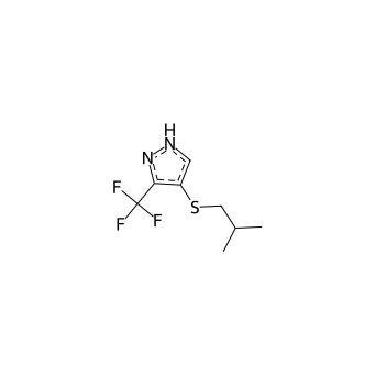 CC(C)CSc1c[nH]nc1C(F)(F)F